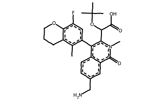 Cc1c(-c2c(C(OC(C)(C)C)C(=O)O)n(C)c(=O)c3cc(CN)ccc23)cc(F)c2c1CCCO2